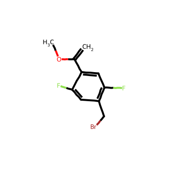 C=C(OC)c1cc(F)c(CBr)cc1F